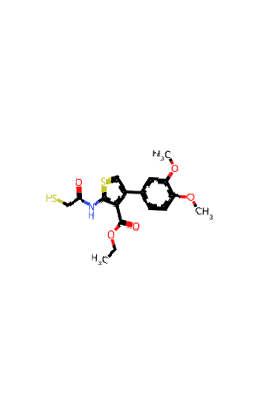 CCOC(=O)c1c(-c2ccc(OC)c(OC)c2)csc1NC(=O)CS